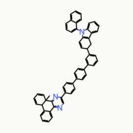 CC12C=CC=CC1c1ccccc1-c1ncc(-c3ccc(-c4ccc(-c5cccc(C6C=Cc7c(c8ccccc8n7-c7cccc8ccccc78)C6)c5)cc4)cc3)nc12